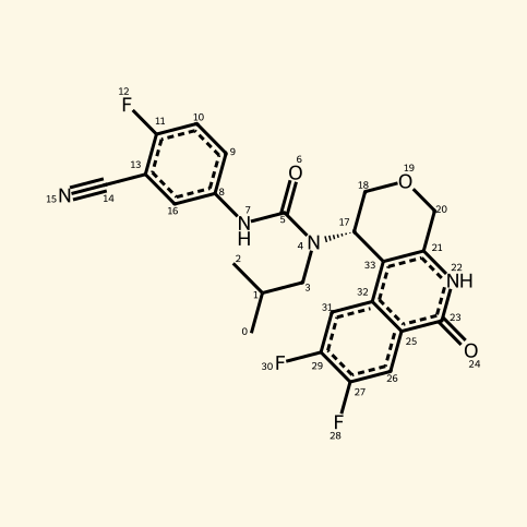 CC(C)CN(C(=O)Nc1ccc(F)c(C#N)c1)[C@@H]1COCc2[nH]c(=O)c3cc(F)c(F)cc3c21